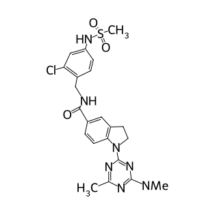 CNc1nc(C)nc(N2CCc3cc(C(=O)NCc4ccc(NS(C)(=O)=O)cc4Cl)ccc32)n1